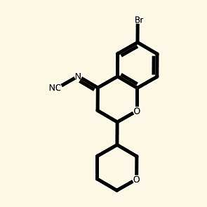 N#CN=C1CC(C2CCCOC2)Oc2ccc(Br)cc21